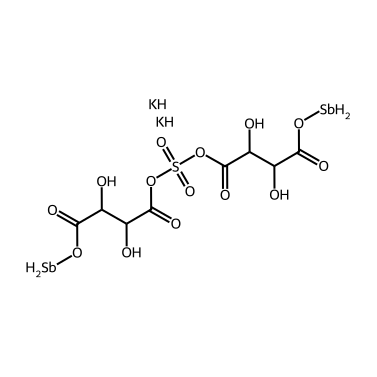 O=C([O][SbH2])C(O)C(O)C(=O)OS(=O)(=O)OC(=O)C(O)C(O)C(=O)[O][SbH2].[KH].[KH]